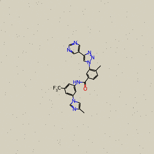 Cc1cn(-c2cc(NC(=O)c3ccc(C)c(-n4cc(-c5cncnc5)nn4)c3)cc(C(F)(F)F)c2)cn1